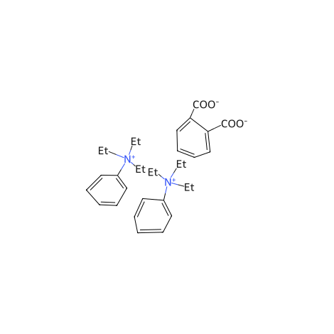 CC[N+](CC)(CC)c1ccccc1.CC[N+](CC)(CC)c1ccccc1.O=C([O-])c1ccccc1C(=O)[O-]